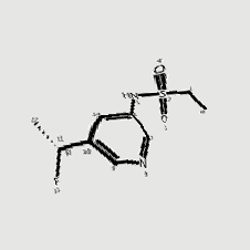 CCS(=O)(=O)Nc1cncc([C@@H](C)F)c1